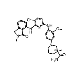 COc1cc(N2CCC[C@@](C)(C(N)=O)C2)ccc1Nc1ncc(Cl)c(Nc2cccc3c2C(=O)N(C)C3)n1